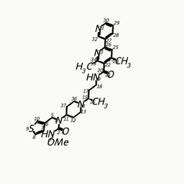 CONC(=O)N(Cc1ccsc1)C1CCN([C@H](C)CCNC(=O)c2c(C)cc(-c3cccnc3)nc2C)CC1